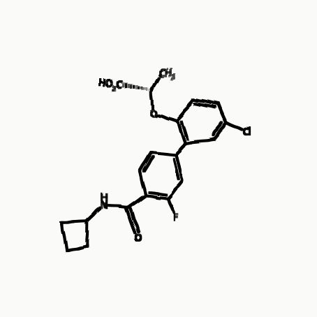 C[C@H](Oc1ccc(Cl)cc1-c1ccc(C(=O)NC2CCC2)c(F)c1)C(=O)O